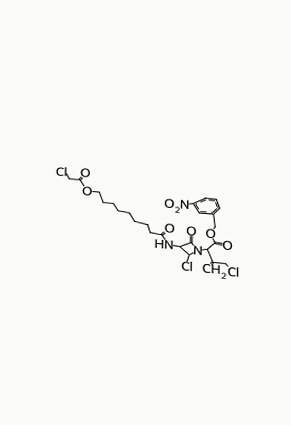 C=C(CCl)C(C(=O)OCc1cccc([N+](=O)[O-])c1)N1C(=O)C(NC(=O)CCCCCCCCOC(=O)CCl)C1Cl